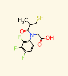 CC(CS)C(=O)N(CC(=O)O)c1ccc(F)c(F)c1F